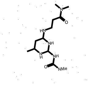 CNC(=O)NC1NC(C)CC(NCCC(=O)N(C)C)N1